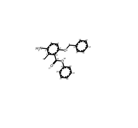 Cc1c(N)ccc(OCc2ccccc2)c1C(=O)Oc1ccccc1